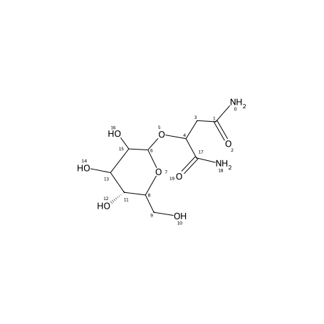 NC(=O)CC(OC1OC(CO)[C@H](O)C(O)C1O)C(N)=O